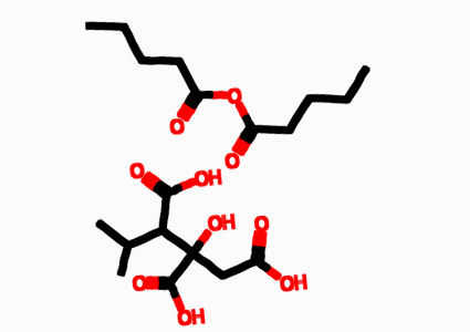 CC(C)C(C(=O)O)C(O)(CC(=O)O)C(=O)O.CCCCC(=O)OC(=O)CCCC